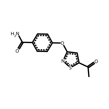 CC(=O)c1cc(Oc2ccc(C(N)=O)cc2)ns1